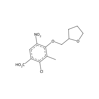 Cc1c(Cl)c(C(=O)O)cc([N+](=O)[O-])c1OCC1CCCO1